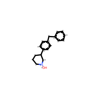 ON1CCCC(c2ccc(Cc3ccccc3)cc2)C1